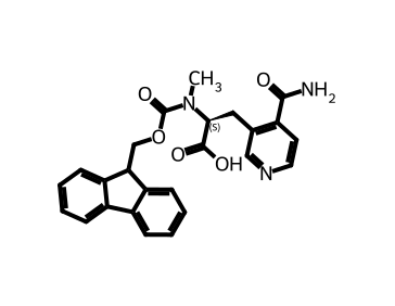 CN(C(=O)OCC1c2ccccc2-c2ccccc21)[C@@H](Cc1cnccc1C(N)=O)C(=O)O